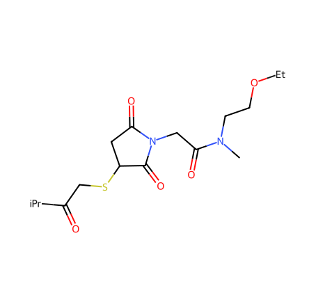 CCOCCN(C)C(=O)CN1C(=O)CC(SCC(=O)C(C)C)C1=O